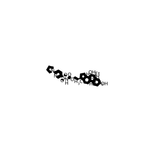 CC[C@H]1[C@@H](O)[C@@H]2[C@H](CC[C@]3(C)[C@@H](CCOC(=O)NS(=O)(=O)c4ccc(N5CCCC5)nc4)CC[C@@H]23)[C@@]2(C)CC[C@@H](O)C[C@@H]12